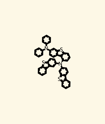 c1ccc(N(c2ccccc2)c2ccc3c(c2)sc2cccc(N(c4ccc5c(c4)sc4ccccc45)c4ccc5sc6ccccc6c5c4)c23)cc1